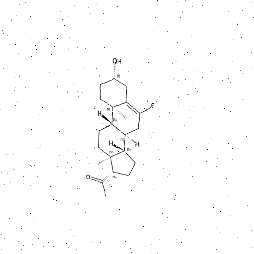 CC(=O)[C@H]1CC[C@H]2[C@@H]3CC(F)=C4C[C@@H](O)CC[C@]4(C)[C@H]3CC[C@]12C